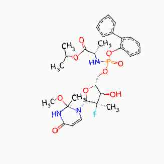 COC1(C)NC(=O)C=CN1[C@@H]1O[C@H](COP(=O)(N[C@@H](C)C(=O)OC(C)C)Oc2ccccc2-c2ccccc2)[C@@H](O)[C@@]1(C)F